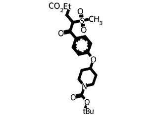 CCOC(=O)CC(C(=O)c1ccc(OC2CCN(C(=O)OC(C)(C)C)CC2)cc1)S(C)(=O)=O